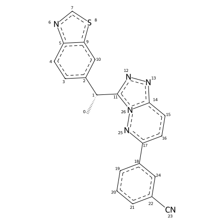 C[C@H](c1ccc2ncsc2c1)c1nnc2ccc(-c3cccc(C#N)c3)nn12